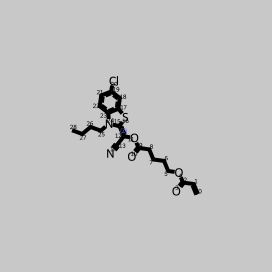 C=CC(=O)OCCCCC(=O)O/C(C#N)=C1\Sc2cc(Cl)ccc2N1CCCC